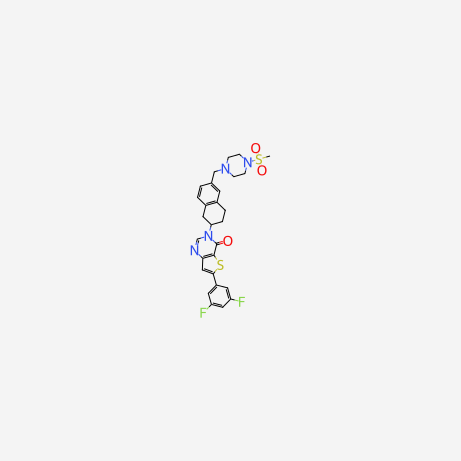 CS(=O)(=O)N1CCN(Cc2ccc3c(c2)CCC(n2cnc4cc(-c5cc(F)cc(F)c5)sc4c2=O)C3)CC1